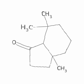 CC1(C)CCCC2(C)CCC(=O)C12